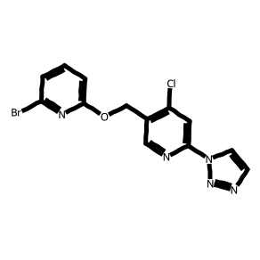 Clc1cc(-n2ccnn2)ncc1COc1cccc(Br)n1